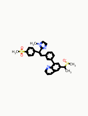 CC(c1cc(-c2cccc(C=C(c3ccc(S(C)(=O)=O)cc3)c3nccn3C)c2)c2ncccc2c1)[S+](C)[O-]